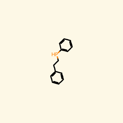 c1ccc(CCPc2ccccc2)cc1